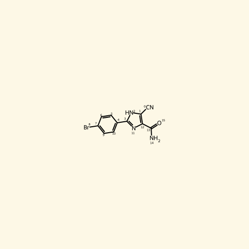 N#Cc1[nH]c(-c2ccc(Br)cc2)nc1C(N)=O